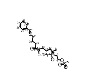 CCCP(=O)(CCOS(C)(=O)=O)N(C)CCCN(C)C(=O)CCCSSc1ccccn1